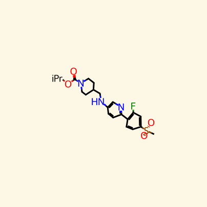 CC(C)OC(=O)N1CCC(CNc2ccc(-c3ccc(S(C)(=O)=O)cc3F)nc2)CC1